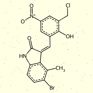 Cc1c(Br)ccc2c1C(=Cc1cc([N+](=O)[O-])cc(CCl)c1O)C(=O)N2